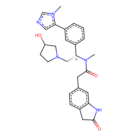 CN(C(=O)Cc1ccc2c(c1)NC(=O)C2)[C@H](CN1CCC(O)C1)c1cccc(-c2cncn2C)c1